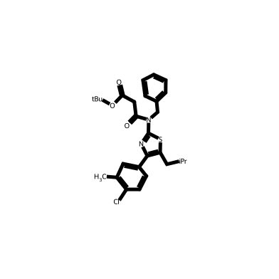 Cc1cc(-c2nc(N(Cc3ccccc3)C(=O)CC(=O)OC(C)(C)C)sc2CC(C)C)ccc1Cl